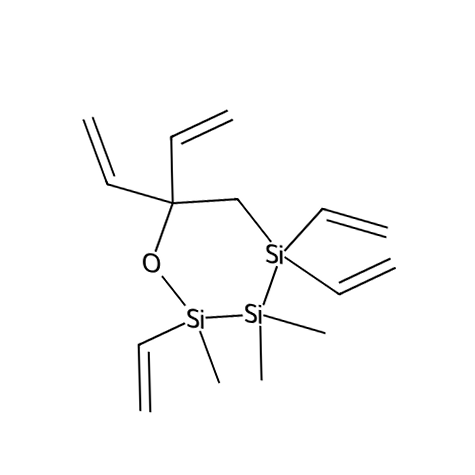 C=CC1(C=C)C[Si](C=C)(C=C)[Si](C)(C)[Si](C)(C=C)O1